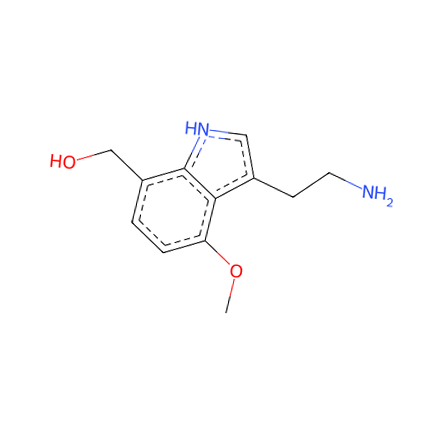 COc1ccc(CO)c2[nH]cc(CCN)c12